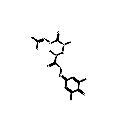 CC1=CC(=NOC(=O)N(C)SN(C)C(=O)ON=C(C)S)C=C(C)C1=O